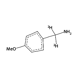 [2H]C([2H])(N)c1ccc(OC)cc1